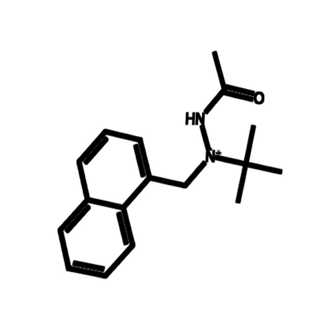 CC(=O)N[N+](Cc1cccc2ccccc12)C(C)(C)C